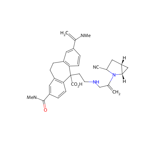 C=C(NC)c1ccc2c(c1)CCc1cc(C(=O)NC)ccc1C2(CCNCC(=C)N1C(C#N)C[C@@H]2C[C@@H]21)C(=O)O